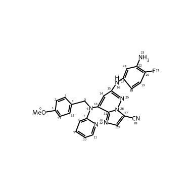 COc1ccc(CN(c2ccccn2)c2cc(Nc3ccc(F)c(N)c3)nn3c(C#N)cnc23)cc1